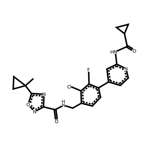 CC1(c2nc(C(=O)NCc3ccc(-c4ccnc(NC(=O)C5CC5)c4)c(F)c3Cl)no2)CC1